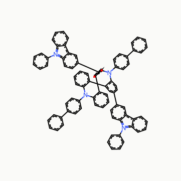 c1ccc(-c2ccc(N3c4ccccc4C4(c5ccccc53)c3cc(-c5ccc6c(c5)c5ccccc5n6-c5ccccc5)ccc3N(c3ccc(-c5ccccc5)cc3)c3ccc(-c5ccc6c(c5)c5ccccc5n6-c5ccccc5)cc34)cc2)cc1